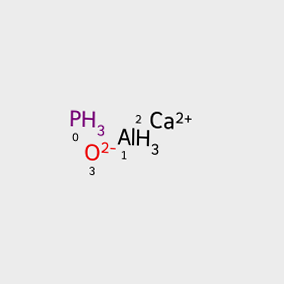 P.[AlH3].[Ca+2].[O-2]